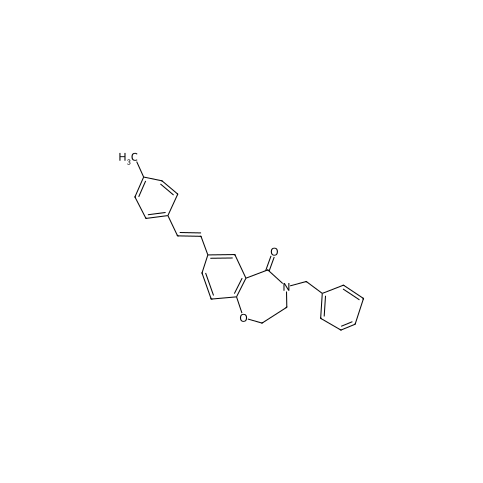 Cc1ccc(/C=C/c2ccc3c(c2)C(=O)N(Cc2ccccc2)CCO3)cc1